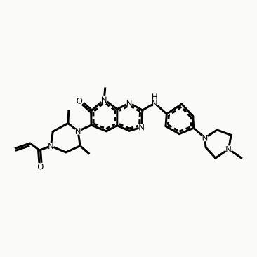 C=CC(=O)N1CC(C)N(c2cc3cnc(Nc4ccc(N5CCN(C)CC5)cc4)nc3n(C)c2=O)C(C)C1